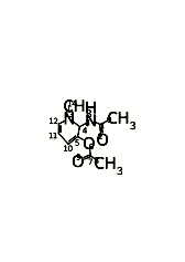 CC(=O)NC1C(OC(C)=O)=CC=CN1C